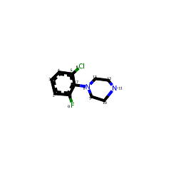 Fc1cccc(Cl)c1N1CC[N]CC1